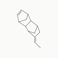 C/C=C1\CC2CC1C1C3C=CC(C3)C21